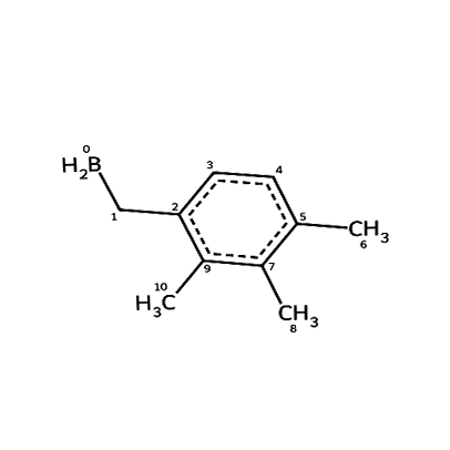 BCc1ccc(C)c(C)c1C